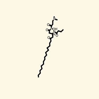 CCCCCCCCCCCCCCCCCC(=O)CC(CC(=O)P(O)C(=O)CCN(C)C)NC(=O)CCC